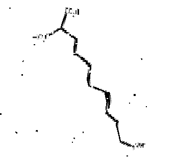 CCCCCCCCCCCC=CCCCCC(C(=O)O)C(=O)O